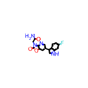 NC(=O)Cn1c(=O)oc2cc(-c3c[nH]c4cc(F)ccc34)cnc21